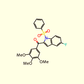 COc1cc(C(=O)c2cc3cc(F)ccc3n2S(=O)(=O)c2ccccc2)cc(OC)c1OC